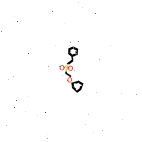 O=S(=O)(C=Cc1ccccc1)CCOc1ccccc1